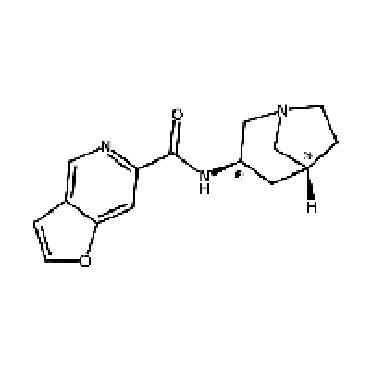 O=C(N[C@@H]1C[C@H]2CCN(C2)C1)c1cc2occc2cn1